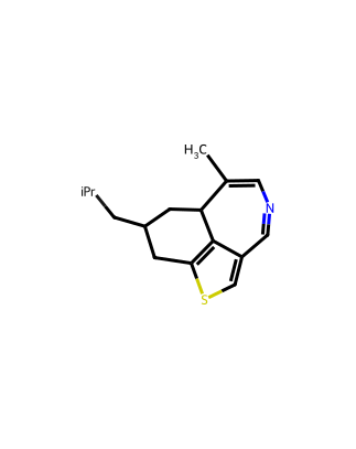 CC1=CN=Cc2csc3c2C1CC(CC(C)C)C3